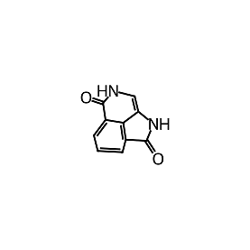 O=C1Nc2c[nH]c(=O)c3cccc1c23